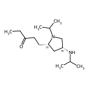 CCC(=O)CC[C@H]1C[C@@H](NC(C)C)CN1C(C)C